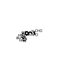 CCCCC1(Cc2ccc(S(=O)(=O)N[C@H](c3nnn[nH]3)C(C)CC)cc2)N=C(Cl)C(C=O)=N1